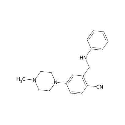 CN1CCN(c2ccc(C#N)c(CNc3ccccc3)c2)CC1